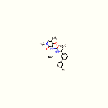 CC(=O)c1cccc(-c2cccc(C(CC(=O)[O-])NC(=O)NC3C(=O)C(C)=CN(C)C3=O)c2)c1.[Na+]